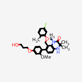 COc1cc(OCCCO)ccc1-c1ccc2c(c1COc1cc(F)ccc1C)N(C)C(=O)C(C)(C)N2